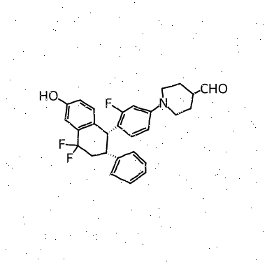 O=CC1CCN(c2ccc([C@H]3c4ccc(O)cc4C(F)(F)C[C@H]3c3ccccc3)c(F)c2)CC1